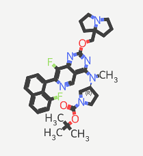 CN(c1nc(OCC23CCCN2CCC3)nc2c(F)c(-c3cccc4cccc(F)c34)ncc12)[C@@H]1CCN(C(=O)OC(C)(C)C)C1